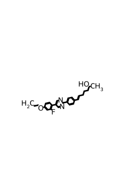 C=CCOc1ccc(-c2cnc(-c3ccc(/C=C/CCCC(C)O)cc3)nc2)c(F)c1